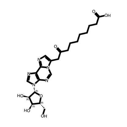 O=C(O)CCCCCCCC(=O)Cc1cnc2c3ncn([C@@H]4O[C@H](CO)[C@@H](O)[C@H]4O)c3ncn12